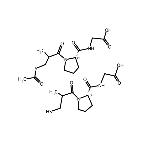 CC(=O)SCC(C)C(=O)N1CCC[C@H]1C(=O)NCC(=O)O.CC(CS)C(=O)N1CCC[C@H]1C(=O)NCC(=O)O